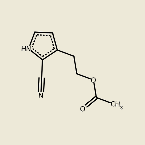 CC(=O)OCCc1cc[nH]c1C#N